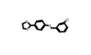 Clc1cccc(COc2ccc(C3SCCS3)cc2)c1